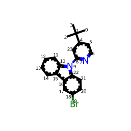 CC(C)(C)c1ccnc(-n2c3ccccc3c3cc(Br)ccc32)c1